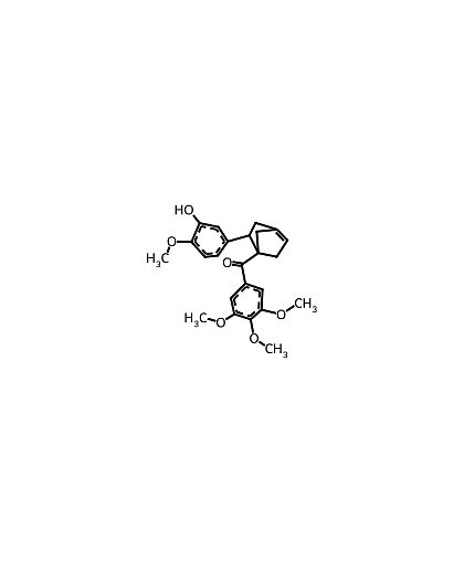 COc1ccc(C2CC3=CCC2(C(=O)c2cc(OC)c(OC)c(OC)c2)C3)cc1O